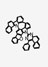 c1ccc(-c2nc(-n3c4cccc5c6cccc7c8ccc9ccccc9c8n(c8cc9c%10ccccc%10oc9c3c8c54)c67)nc3ccc4ccccc4c23)cc1